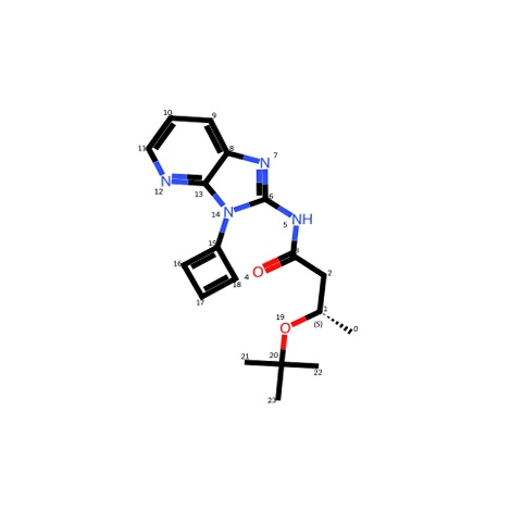 C[C@@H](CC(=O)Nc1nc2cccnc2n1C1=CC=C1)OC(C)(C)C